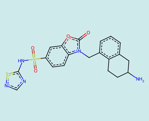 NC1CCc2c(cccc2Cn2c(=O)oc3cc(S(=O)(=O)Nc4ncns4)ccc32)C1